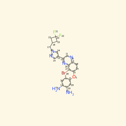 Nc1ccc(Oc2ccc3ncc(-c4cnn(CC5CC(F)(F)C5)c4)nc3c2Br)cc1N